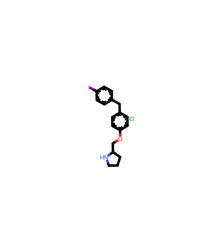 Cl.Ic1ccc(Cc2ccc(OCC3CCCN3)cc2)cc1